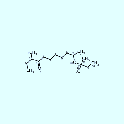 CCC(C)C(=O)CCCCCC(C)OC(C)(C)CC